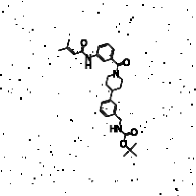 CC(C)=CC(=O)Nc1cccc(C(=O)N2CCC(c3cccc(CNC(=O)OC(C)(C)C)c3)CC2)c1